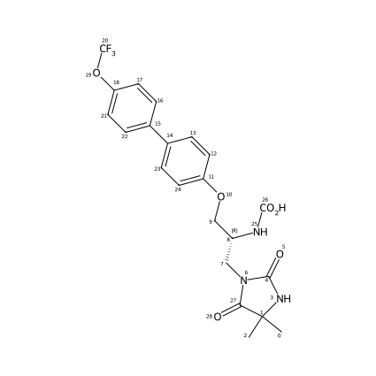 CC1(C)NC(=O)N(C[C@H](COc2ccc(-c3ccc(OC(F)(F)F)cc3)cc2)NC(=O)O)C1=O